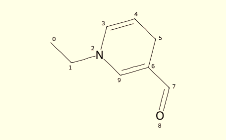 CCN1C=CCC(C=O)=C1